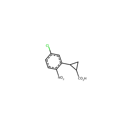 O=C(O)C1CC1c1cc(Cl)ccc1[N+](=O)[O-]